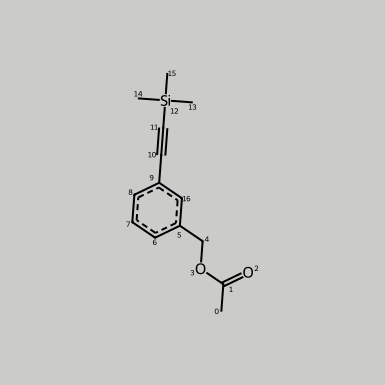 CC(=O)OCc1cccc(C#C[Si](C)(C)C)c1